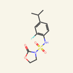 CC(C)c1ccc(NS(=O)(=O)N2CCOC2=O)c(F)c1